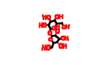 OC[C@H]1O[C@@H](O[C@H]2O[C@H](CO)[C@@H](O)[C@H](O)[C@H]2O)[C@@H](O)[C@@H](O)[C@@H]1O